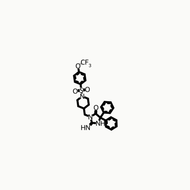 N=C1NC(c2ccccc2)(c2ccccc2)C(=O)N1CC1CCN(S(=O)(=O)c2ccc(OC(F)(F)F)cc2)CC1